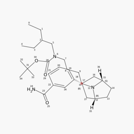 CCC(CC)CN(CCCCN1[C@@H]2CC[C@H]1C[C@@H](c1cccc(C(N)=O)c1)C2)C(=O)OC(C)(C)C